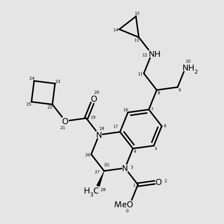 COC(=O)N1c2ccc(C(CN)CNC3CC3)cc2N(C(=O)OC2CCC2)C[C@@H]1C